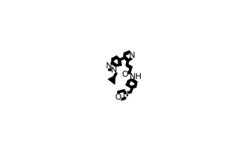 O=C(C=Cc1cnccc1-c1ccc2ncn(CC3CC3)c2c1)Nc1ccc(CN2CCOCC2)cc1